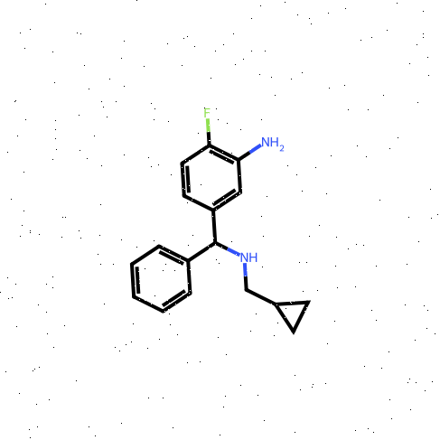 Nc1cc(C(NCC2CC2)c2ccccc2)ccc1F